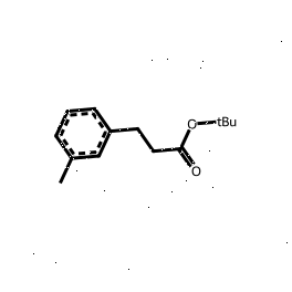 Cc1cccc(CCC(=O)OC(C)(C)C)c1